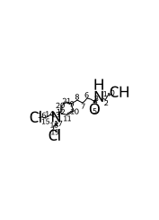 C#CCNC(=O)CCCc1ccc(N(CCCl)CCCl)cc1